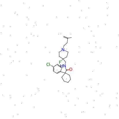 C=C(C)CCN1CCC(F)(CNC(=O)C2(c3ccc(Cl)cc3)CCCCC2)CC1